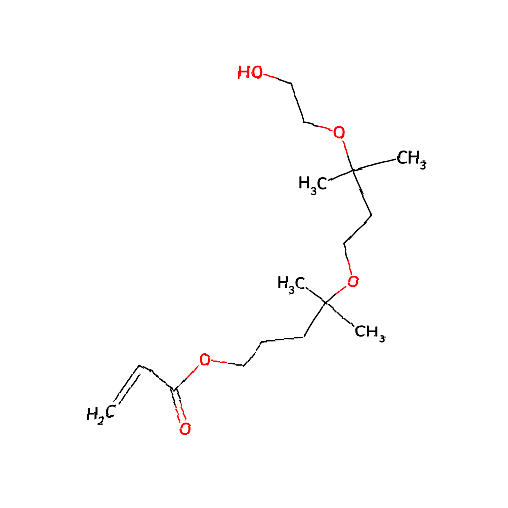 C=CC(=O)OCCCC(C)(C)OCCC(C)(C)OCCO